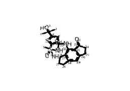 CC(C)(O)c1cnc(S(C)(N)(=O)NC(=O)Nc2c3c(cc4c2C(=O)CC4)CCC3)s1